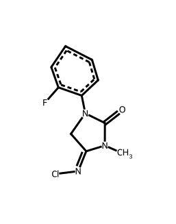 CN1C(=O)N(c2ccccc2F)CC1=NCl